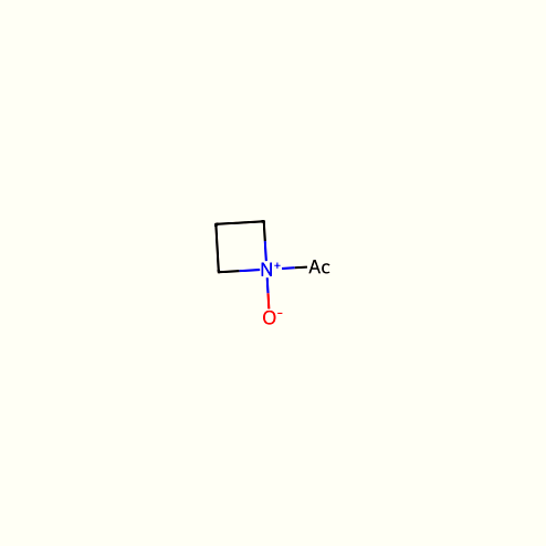 CC(=O)[N+]1([O-])CCC1